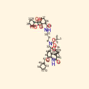 CC(C)(C)OC(=O)N(CCCCNC(=O)c1cccc(C(O)(C(=O)O)c2ccccc2)c1)CC(O[Si](C)(C)C(C)(C)C)c1ccc(OCc2ccccc2)c2[nH]c(=O)ccc12